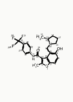 Cc1oc2ccc(O)c(CN3CCC[C@@H]3C)c2c1C(=O)Nc1ccc(C(F)(F)F)cc1